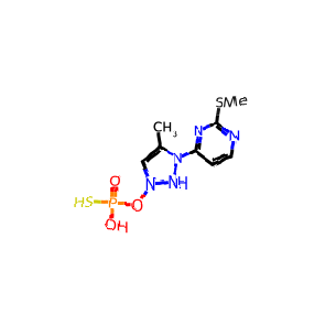 CSc1nccc(N2NN(OP(=O)(O)S)C=C2C)n1